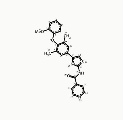 COc1ccccc1Oc1c(C)cc(-c2csc(NC(=O)c3ccncc3)n2)cc1C